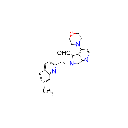 Cc1ccc2ccc(CCN3Cc4nccc(N5CCOCC5)c4C3C=O)nc2c1